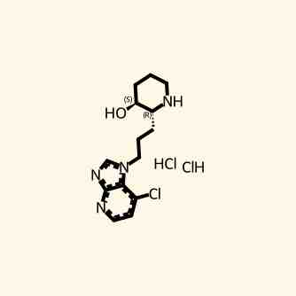 Cl.Cl.O[C@H]1CCCN[C@@H]1CCCn1cnc2nccc(Cl)c21